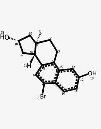 C[C@]12CCc3c(cc(Br)c4ccc(O)cc34)[C@@H]1C[C@H](O)C2